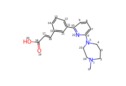 CN1CCCN(c2cccc(-c3cccc(C=CC(=O)O)c3)n2)CC1